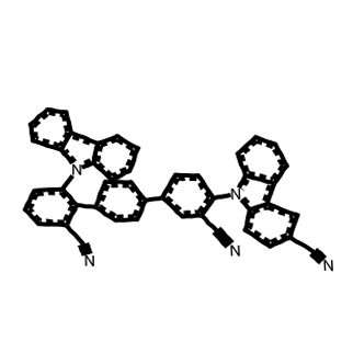 N#Cc1ccc2c(c1)c1ccccc1n2-c1ccc(-c2ccc(-c3c(C#N)cccc3-n3c4ccccc4c4ccccc43)cc2)cc1C#N